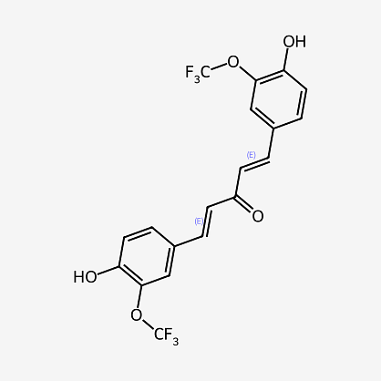 O=C(/C=C/c1ccc(O)c(OC(F)(F)F)c1)/C=C/c1ccc(O)c(OC(F)(F)F)c1